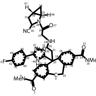 CNC(=O)c1ccc2c(c1)CCc1cc(C(=O)NC)ccc1C2(C[C@H](C)NCC(=O)N1C(C#N)C[C@@H]2C[C@@H]21)c1nnc(-c2ccc(F)cc2)[nH]1